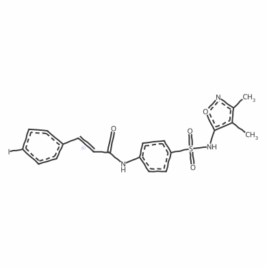 Cc1noc(NS(=O)(=O)c2ccc(NC(=O)/C=C/c3ccc(I)cc3)cc2)c1C